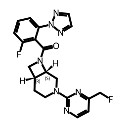 O=C(c1c(F)cccc1-n1nccn1)N1C[C@H]2CCN(c3nccc(CF)n3)C[C@H]21